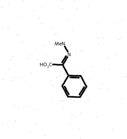 CN/N=C(\C(=O)O)c1ccccc1